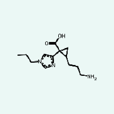 CCCn1cnc(C2(C(=O)O)CC2CCCN)c1